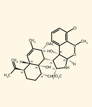 C=C(C)[C@@H]1CC[C@@H](C)[C@]2(O)C([C@H]3[C@@H](C(=O)O)N[C@@H]4ON(C)c5c(Cl)cccc5[C@@]43O)[C@@H](OC(C)=O)C(C)=C[C@@H]12